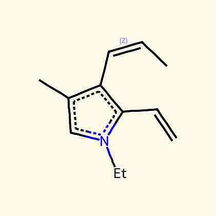 C=Cc1c(/C=C\C)c(C)cn1CC